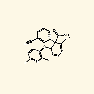 CC1=CC=NC(Oc2ccc(F)nc2C)C1(C(N)=O)c1cccc(C#N)c1